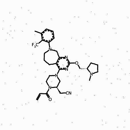 C=CC(=O)N1CCN(c2nc(OC[C@@H]3CCCN3C)nc3c2CCCN(c2cccc(C)c2C(F)(F)F)C3)C[C@H]1CC#N